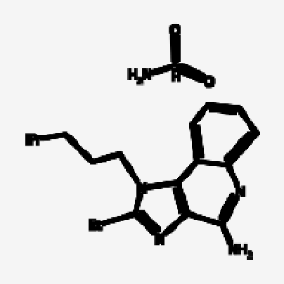 CCc1nc2c(N)nc3ccccc3c2n1CCCC(C)C.N[SH](=O)=O